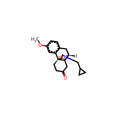 COc1ccc2c(c1)[C@@]13CCC(=O)C[C@@]1(O)[C@@H](C2)N(CC1CC1)CC3